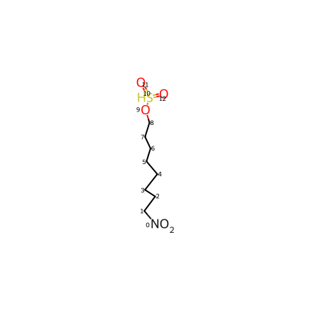 O=[N+]([O-])CCCCCCCCO[SH](=O)=O